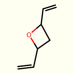 C=CC1CC(C=C)O1